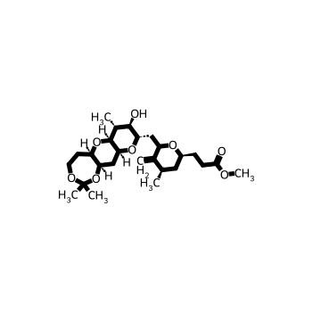 C=C1C(C[C@@H]2O[C@H]3C[C@H]4OC(C)(C)OCC[C@H]4O[C@H]3[C@H](C)[C@H]2O)O[C@@H](CCC(=O)OC)C[C@H]1C